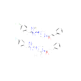 CC1CN(c2nc(Cc3ccc(F)cc3)ns2)CCN1C(=O)CCc1ccccc1.O=C(/C=C/c1ccccc1)N1CCN(c2nc(Cc3ccc(Cl)cc3)ns2)CC1